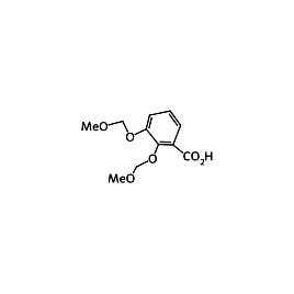 COCOc1cccc(C(=O)O)c1OCOC